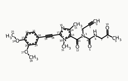 C#CCN(C(=O)NCC(C)=O)C(=O)c1c(C)nc(C#Cc2ccc(OC)c(OC)c2)n1C